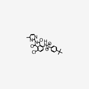 Cc1ccnc(N2C(=O)c3c(Cl)ccc(NS(=O)(=O)c4ccc(C(C)(C)C)cc4)c3C2=O)n1